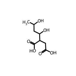 CC(O)CC(O)C(CC(=O)O)C(=O)O